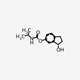 CC(C)NC(=O)Oc1ccc2c(c1)[C@H](O)CC2